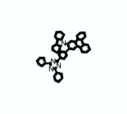 c1ccc(-c2nc(-c3ccccc3)nc(-c3ccc(-c4cc5c6ccccc6c6ccccc6c5cc4-n4c5ccccc5c5ccccc54)cc3)n2)cc1